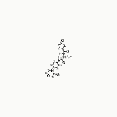 CCCN(NC(=O)C1CC=C(Cl)S1)C(=O)Nc1ccc(N2CCOCC2=O)cc1